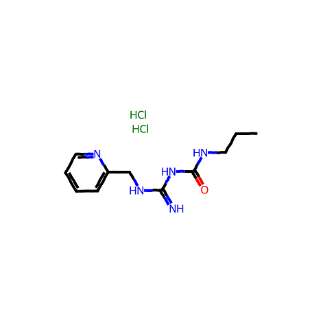 CCCNC(=O)NC(=N)NCc1ccccn1.Cl.Cl